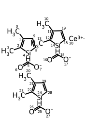 CC1=C(C)[SiH](C(=O)[O-])C=C1.CC1=C(C)[SiH](C(=O)[O-])C=C1.CC1=C(C)[SiH](C(=O)[O-])C=C1.[Ce+3]